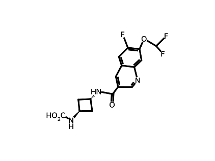 O=C(O)N[C@H]1C[C@H](NC(=O)c2cnc3cc(OC(F)F)c(F)cc3c2)C1